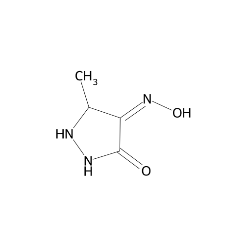 CC1NNC(=O)C1=NO